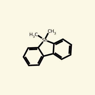 [CH3][Sn]1([CH3])[c]2ccccc2-c2cccc[c]21